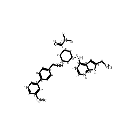 COc1cncc(-c2ccc(CN[C@H]3C[C@@H](Nc4ncnc5sc(CC(F)(F)F)cc45)C[C@@H](C(=O)N(C)C)C3)cc2)c1